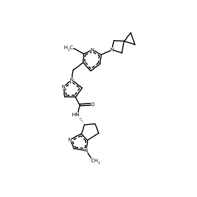 Cc1nc(N2CC3(CC3)C2)ccc1Cn1cc(C(=O)N[C@@H]2CCc3c2ncn3C)cn1